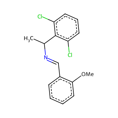 COc1ccccc1C=NC(C)c1c(Cl)cccc1Cl